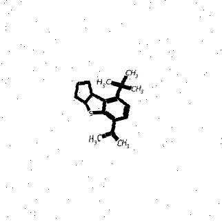 CC(C)c1ccc(C(C)(C)C)c2c1SC1CCCC21